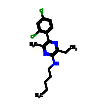 CCCCCNc1nc(C)c(-c2ccc(Cl)cc2Cl)nc1CC